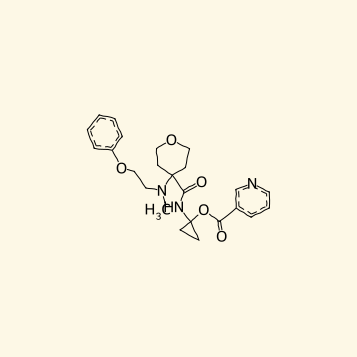 CN(CCOc1ccccc1)C1(C(=O)NC2(OC(=O)c3cccnc3)CC2)CCOCC1